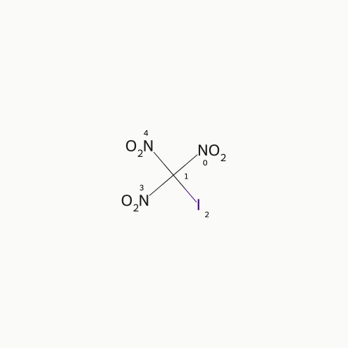 O=[N+]([O-])C(I)([N+](=O)[O-])[N+](=O)[O-]